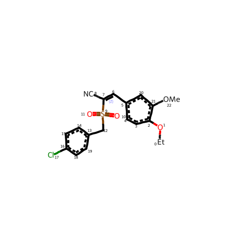 CCOc1ccc(/C=C(/C#N)S(=O)(=O)Cc2ccc(Cl)cc2)cc1OC